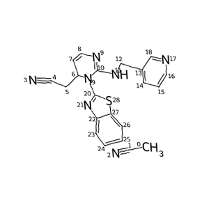 CC#N.N#CCC1C=CN=C(NCc2cccnc2)N1c1nc2ccccc2s1